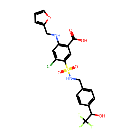 O=C(O)c1cc(S(=O)(=O)NCc2ccc(C(O)C(F)(F)F)cc2)c(Cl)cc1NCc1ccco1